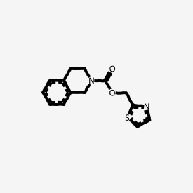 O=C(OCc1nccs1)N1CCc2ccccc2C1